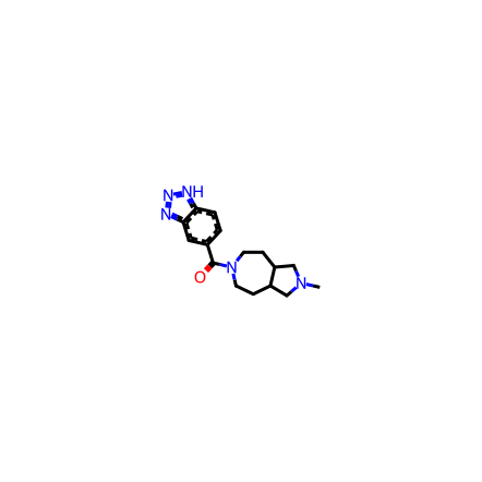 CN1CC2CCN(C(=O)c3ccc4[nH]nnc4c3)CCC2C1